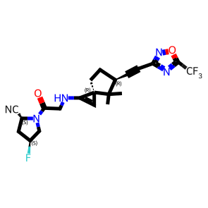 CC1(C)[C@H](C#Cc2noc(C(F)(F)F)n2)CC[C@@]12C=C2NCC(=O)N1C[C@@H](F)C[C@H]1C#N